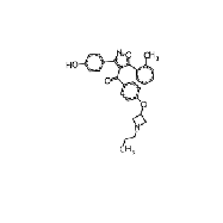 CCCN1CC(Oc2ccc(C(=O)c3c(-c4ccc(O)cc4)noc3-c3ccccc3C)cc2)C1